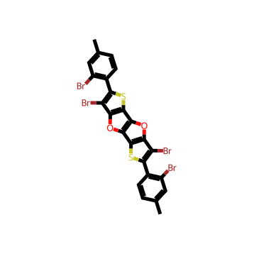 Cc1ccc(-c2sc3c(oc4c3oc3c(Br)c(-c5ccc(C)cc5Br)sc34)c2Br)c(Br)c1